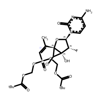 C/C(=C/P(=O)(OCOC(=O)C(C)(C)C)OCOC(=O)C(C)(C)C)[C@@]12O[C@@H](n3ccc(N)nc3=O)[C@H](F)[C@@]1(O)C2Cl